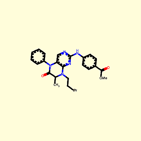 COC(=O)c1ccc(Nc2ncc3c(n2)N(CCC(C)C)C(C)C(=O)N3c2ccccc2)cc1